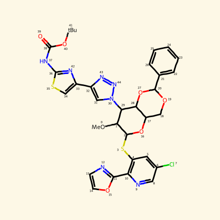 COC1C(Sc2cc(Cl)cnc2-c2ncco2)OC2COC(c3ccccc3)OC2C1n1cc(-c2csc(NC(=O)OC(C)(C)C)n2)nn1